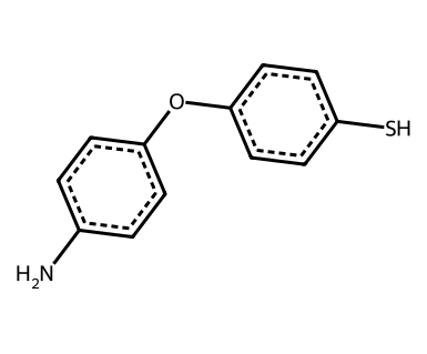 Nc1ccc(Oc2ccc(S)cc2)cc1